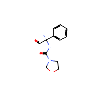 N[C@](C=O)(NC(=O)N1CCOC1)c1ccccc1